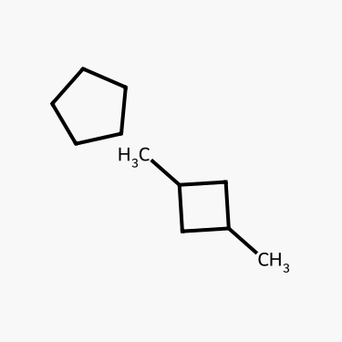 C1CCCC1.CC1CC(C)C1